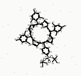 Cc1cc(C)c(-c2c3nc(c(-c4c(C)cc(C)cc4C)c4ccc([nH]4)c(-c4c(C)cc(C)cc4C)c4nc(c(-c5ccc(P(=O)(OC(C)(C)C)OC(C)(C)C)cc5)c5ccc2[nH]5)C=C4)C=C3)c(C)c1